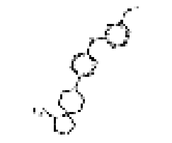 COc1cccc(Sc2cnc(N3CCC4(CCC[C@H]4N)CC3)cn2)c1